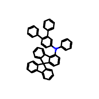 c1ccc(-c2ccc(N(c3ccccc3)c3cccc4c3-c3ccccc3C43c4ccccc4-c4ccccc43)cc2-c2ccccc2)cc1